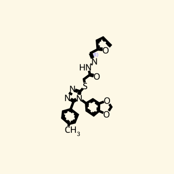 Cc1ccc(-c2nnc(SCC(=O)N/N=C/c3ccco3)n2-c2ccc3c(c2)OCO3)cc1